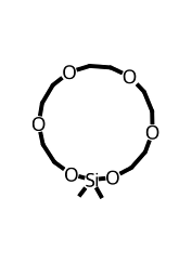 C[Si]1(C)OCCOCCOCCOCCOCCO1